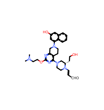 CN(C)CCOc1nc2c(c(N3CCN(C=CC=O)[C@@H](CCO)C3)n1)CCN(c1cc(O)cc3ccccc13)C2